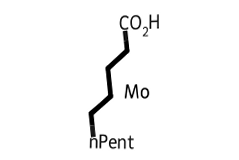 CCCCCCCCCC(=O)O.[Mo]